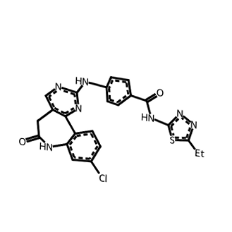 CCc1nnc(NC(=O)c2ccc(Nc3ncc4c(n3)-c3ccc(Cl)cc3NC(=O)C4)cc2)s1